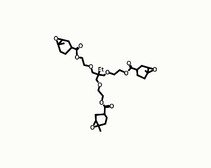 CCC(COCCOC(=O)C1CCC2(C)OC2C1)(COCCOC(=O)C1CCC2(C)OC2C1)COCCOC(=O)C1CCC2(C)OC2C1